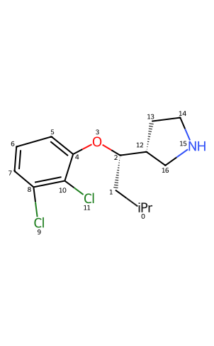 CC(C)C[C@H](Oc1cccc(Cl)c1Cl)[C@@H]1CCNC1